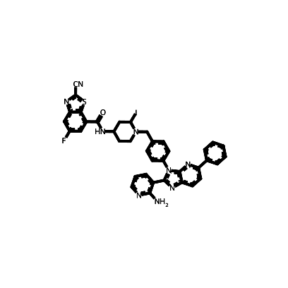 N#Cc1nc2cc(F)cc(C(=O)NC3CCN(Cc4ccc(-n5c(-c6cccnc6N)nc6ccc(-c7ccccc7)nc65)cc4)C(I)C3)c2s1